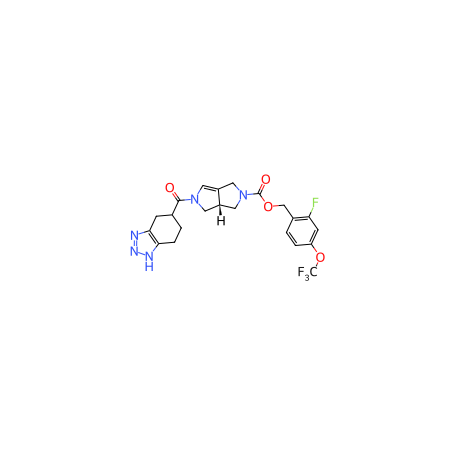 O=C(C1CCc2[nH]nnc2C1)N1C=C2CN(C(=O)OCc3ccc(OC(F)(F)F)cc3F)C[C@@H]2C1